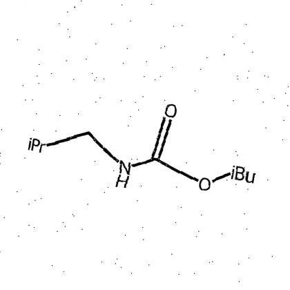 CCC(C)OC(=O)NCC(C)C